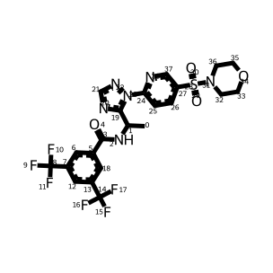 CC(NC(=O)c1cc(C(F)(F)F)cc(C(F)(F)F)c1)c1ncnn1-c1ccc(S(=O)(=O)N2CCOCC2)cn1